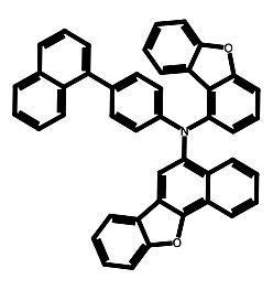 c1ccc2c(-c3ccc(N(c4cc5c6ccccc6oc5c5ccccc45)c4cccc5oc6ccccc6c45)cc3)cccc2c1